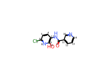 O=C(Nc1ccc(Cl)nc1O)c1cccnc1